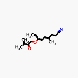 C=C/C(=C\C=C(/C)CCC#N)OCC(=O)C(=C)C